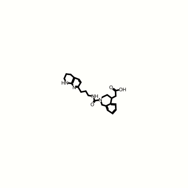 O=C(O)CC1CCN(C(=O)NCCCc2ccc3c(n2)NCCC3)Cc2ccccc21